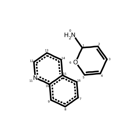 NC1C=CC=CO1.c1ccc2ncccc2c1